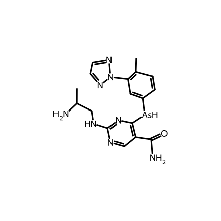 Cc1ccc([AsH]c2nc(NCC(C)N)ncc2C(N)=O)cc1-n1nccn1